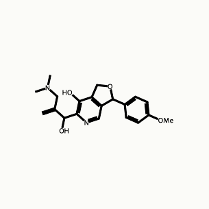 C=C(CN(C)C)C(O)c1ncc2c(c1O)COC2c1ccc(OC)cc1